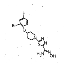 N/C(=N\O)c1nnc(N2CCC(Oc3ccc(F)cc3Br)CC2)s1